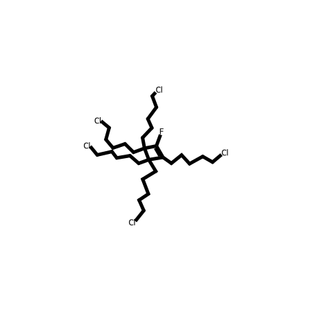 FC1=C(CCCCCCl)C(CCCCCCl)(CCCCCCl)C1(CCCCCCl)CCCCCCl